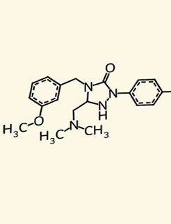 COc1cccc(CN2C(=O)N(c3ccc(Br)cc3)NC2CN(C)C)c1